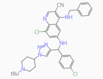 CC(C)(C)N1CCC(n2cc(C(Nc3cc(Cl)c4ncc(C#N)c(NCc5ccccc5)c4c3)c3ccc(Cl)cc3)nn2)CC1